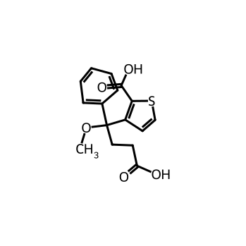 COC(CCC(=O)O)(c1ccccc1)c1ccsc1C(=O)O